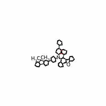 CC1(C)c2ccccc2-c2ccc(-c3ccc(N(c4ccc(-c5ccccc5)cc4)c4c(-c5ccccc5)c5c6ccccc6oc5c5ccccc45)cc3)cc21